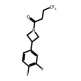 O=C(CCC(F)(F)F)N1CC(c2ccc(F)c(F)c2)C1